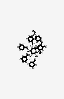 CCOc1ccc(Cc2cc(C3(O)O[C@H](COCc4ccccc4)[C@@H](OCc4ccccc4)[C@H](OCc4ccccc4)[C@H]3OCc3ccccc3)c(O)cc2Cl)cc1